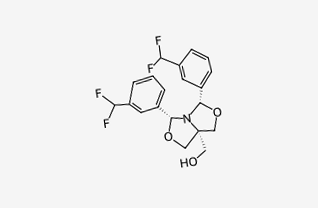 OC[C@]12CO[C@H](c3cccc(C(F)F)c3)N1[C@H](c1cccc(C(F)F)c1)OC2